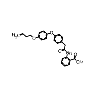 C=CCCOc1ccc(Oc2ccc(CC(=O)Nc3ccccc3C(=O)O)cc2)cc1